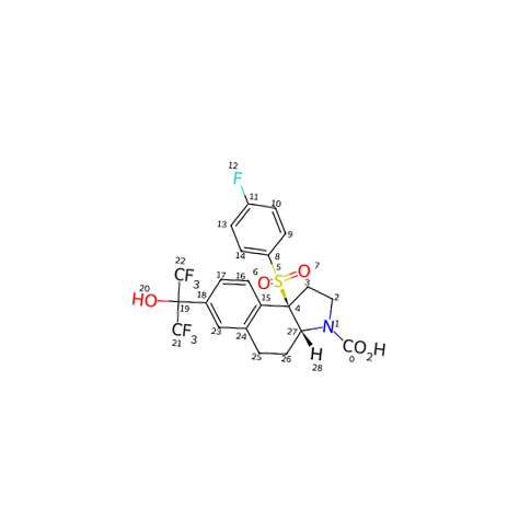 O=C(O)N1CC[C@@]2(S(=O)(=O)c3ccc(F)cc3)c3ccc(C(O)(C(F)(F)F)C(F)(F)F)cc3CC[C@@H]12